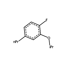 CCCc1ccc(F)c(OC(C)C)c1